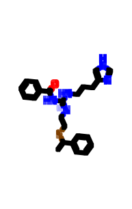 CC(SCC/N=C(/NCCCc1c[nH]cn1)NC(=O)c1ccccc1)c1ccccc1